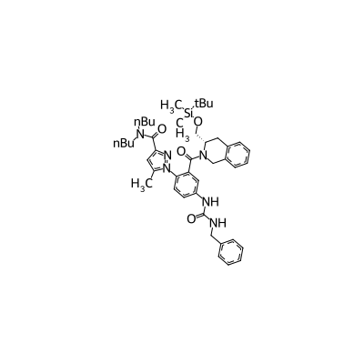 CCCCN(CCCC)C(=O)c1cc(C)n(-c2ccc(NC(=O)NCc3ccccc3)cc2C(=O)N2Cc3ccccc3C[C@H]2CO[Si](C)(C)C(C)(C)C)n1